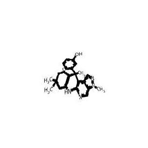 Cn1ncc2c3c(ncc21)NC1=C(C(=O)CC(C)(C)C1)C3(C)c1cccc(O)c1